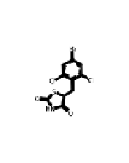 O=C1NC(=O)C(Cc2c(Cl)cc(Br)cc2Cl)S1